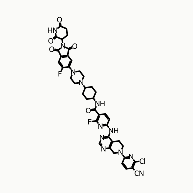 N#Cc1ccc(N2CCc3c(ncnc3Nc3ccc(C(=O)NC4CCC(N5CCN(c6cc7c(cc6F)C(=O)N(C6CCC(=O)NC6=O)C7=O)CC5)CC4)c(F)n3)C2)nc1Cl